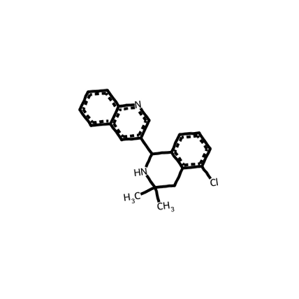 CC1(C)Cc2c(Cl)cccc2C(c2cnc3ccccc3c2)N1